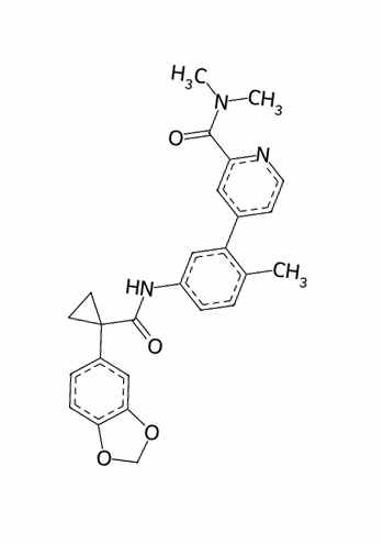 Cc1ccc(NC(=O)C2(c3ccc4c(c3)OCO4)CC2)cc1-c1ccnc(C(=O)N(C)C)c1